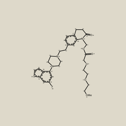 COCCOCCOCC(=O)OCN1C(=O)CCc2ccc(CCN3CCN(c4cc(F)cc5sccc45)CC3)cc21